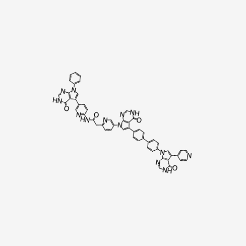 O=C(Cc1ccc(-n2cc(-c3ccc(-c4ccc(-n5cc(-c6ccncc6)c6c(=O)[nH]cnc65)cc4)cc3)c3c(=O)[nH]cnc32)cn1)Nc1ccc(-c2cn(-c3ccccc3)c3nc[nH]c(=O)c23)cn1